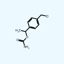 CC(OC(N)=O)c1ccc(CCl)cc1